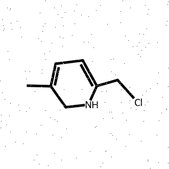 CC1=CC=C(CCl)NC1